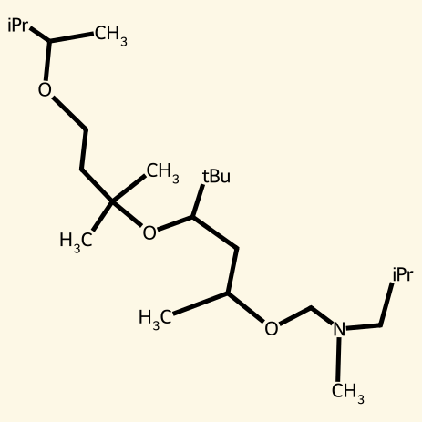 CC(C)CN(C)COC(C)CC(OC(C)(C)CCOC(C)C(C)C)C(C)(C)C